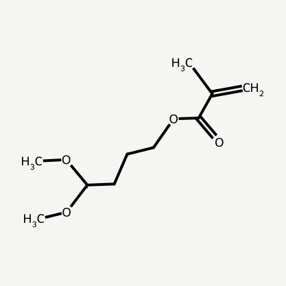 C=C(C)C(=O)OCCC[C](OC)OC